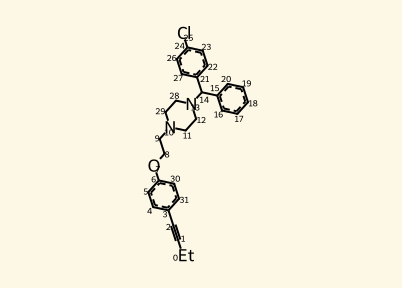 [CH2]CC#Cc1ccc(OCCN2CCN(C(c3ccccc3)c3ccc(Cl)cc3)CC2)cc1